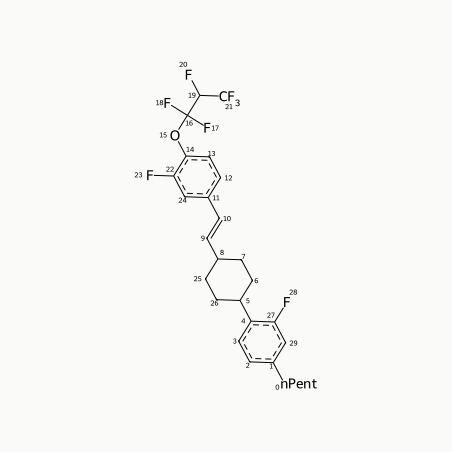 CCCCCc1ccc(C2CCC(C=Cc3ccc(OC(F)(F)C(F)C(F)(F)F)c(F)c3)CC2)c(F)c1